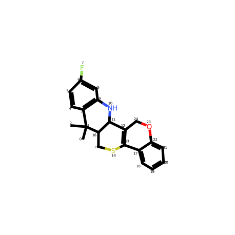 CC1(C)c2ccc(F)cc2NC2C3=C(SCC21)c1ccccc1OC3